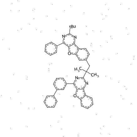 CC(C)(C)c1nc(-c2ccccc2)c2oc3cc(CC(C)(C)c4nc(-c5cccc(-c6ccccc6)c5)c5oc6ccccc6c5n4)ccc3c2n1